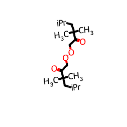 CC(C)CC(C)(C)C(=O)COOCC(=O)C(C)(C)CC(C)C